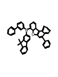 CC1(C)c2ccccc2-c2ccc(N(C3=CC=CC4c5c(cc(-c6ccccc6)c6ccccc56)OC34)c3cccc(-c4ccccc4)c3)cc21